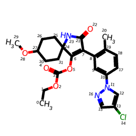 CCOC(=O)OC1=C(c2cc(-n3cc(Cl)cn3)ccc2C)C(=O)NC12CCC(OC)CC2